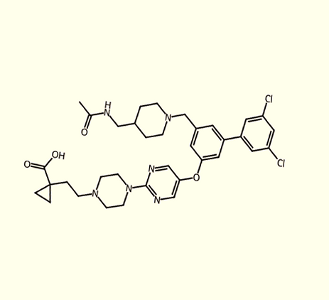 CC(=O)NCC1CCN(Cc2cc(Oc3cnc(N4CCN(CCC5(C(=O)O)CC5)CC4)nc3)cc(-c3cc(Cl)cc(Cl)c3)c2)CC1